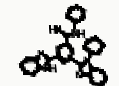 N=C(Nc1ccccc1)c1cc(-c2nc3ccccc3[nH]2)cc(-c2nc3ccccc3n2-c2ccccc2)c1